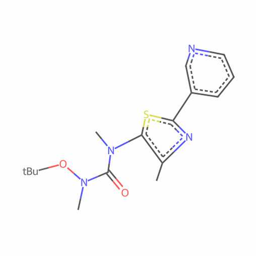 Cc1nc(-c2cccnc2)sc1N(C)C(=O)N(C)OC(C)(C)C